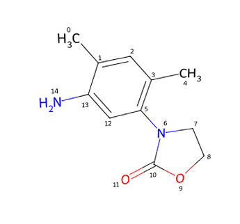 Cc1cc(C)c(N2CCOC2=O)cc1N